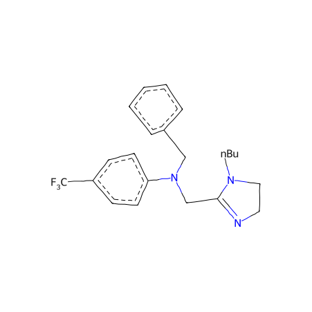 CCCCN1CCN=C1CN(Cc1ccccc1)c1ccc(C(F)(F)F)cc1